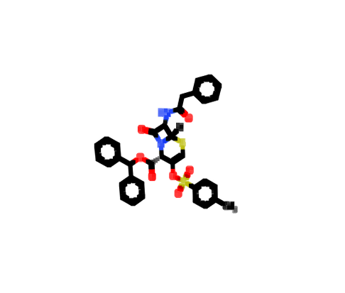 Cc1ccc(S(=O)(=O)OC2=CS[C@H]3[C@H](NC(=O)Cc4ccccc4)C(=O)N3[C@H]2C(=O)OC(c2ccccc2)c2ccccc2)cc1